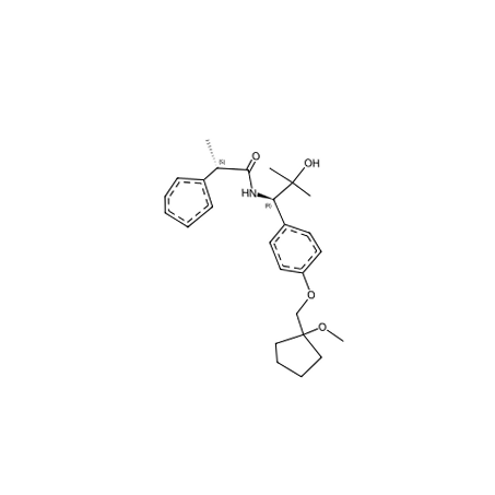 COC1(COc2ccc([C@@H](NC(=O)[C@@H](C)c3ccccc3)C(C)(C)O)cc2)CCCC1